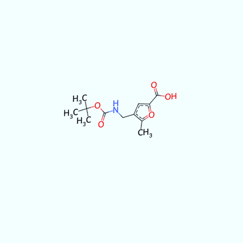 Cc1oc(C(=O)O)cc1CNC(=O)OC(C)(C)C